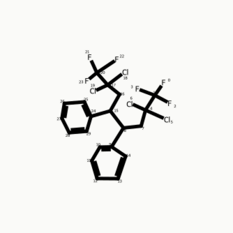 FC(F)(F)C(Cl)(Cl)CC(c1ccccc1)C(CC(Cl)(Cl)C(F)(F)F)c1ccccc1